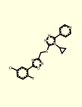 Fc1ccc(Cl)cc1-c1nc(CSc2nnc(-c3ccncc3)n2C2CC2)no1